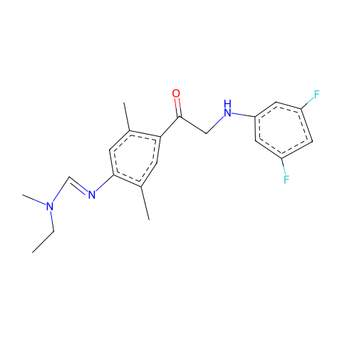 CCN(C)C=Nc1cc(C)c(C(=O)CNc2cc(F)cc(F)c2)cc1C